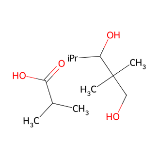 CC(C)C(=O)O.CC(C)C(O)C(C)(C)CO